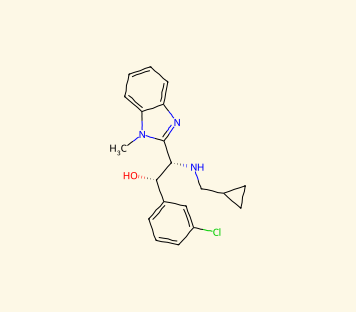 Cn1c([C@H](NCC2CC2)[C@@H](O)c2cccc(Cl)c2)nc2ccccc21